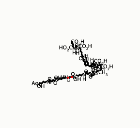 CC(=O)N(O)CCCCCNC(=O)CCC(=O)N(O)CCCCCNC(=O)CCC(=O)N(O)CCCCCNC(=O)CCN1C(=O)CC(SC[C@@H](C)NC(=O)[C@H](CC(=O)O)NC(=O)[C@H](CC(=O)O)NC(=O)Cc2ccc(CNC(=O)NCCCC[C@H](NC(=O)N[C@@H](CCC(=O)O)C(=O)O)C(=O)O)cc2)C1=O